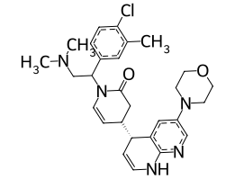 Cc1cc(C(CN(C)C)N2C=CC([C@H]3C=CNc4ncc(N5CCOCC5)cc43)CC2=O)ccc1Cl